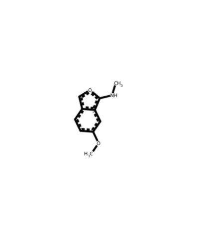 CNc1occ2ccc(OC)cc12